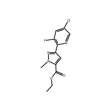 CCOC(=O)c1cc(-c2ncc(Cl)cc2F)nn1C